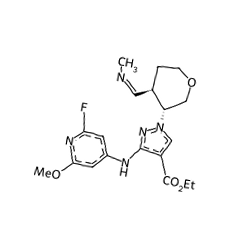 CCOC(=O)c1cn([C@H]2COCC[C@@H]2/C=N\C)nc1Nc1cc(F)nc(OC)c1